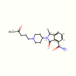 COC(=O)CCCN1CCC(N2C(=O)c3c(C(N)=O)cccc3C2C)CC1